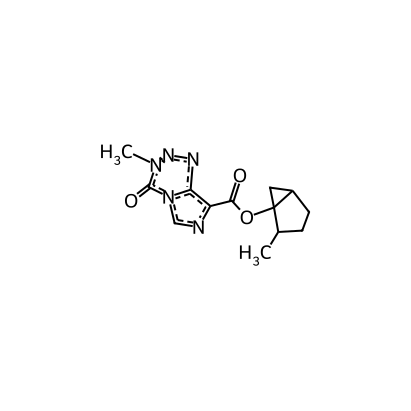 CC1CCC2CC12OC(=O)c1ncn2c(=O)n(C)nnc12